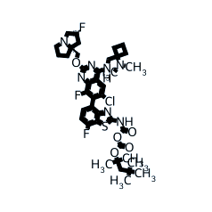 CN(C)C1(CNc2nc(OC[C@@]34CCCN3C[C@H](F)C4)nc3c(F)c(-c4ccc(F)c5sc(NC(=O)OC(=O)OC(C)(C)CC(C)(C)C)nc45)c(Cl)cc23)CCC1